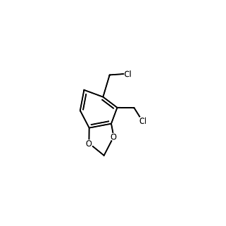 ClCc1ccc2c(c1CCl)OCO2